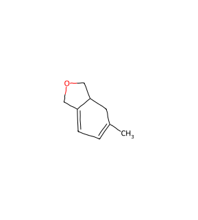 CC1=CC=C2COCC2C1